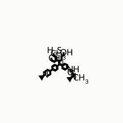 C\C=C/C(=C\CC)C(/CCCO)=C(/c1ccc(NOSN(C)C2CC2)cc1)c1ccc(C2CCN(C3CC3)CC2)cc1.S